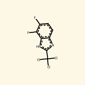 Fc1ccc2nc(C(Cl)(Cl)Cl)[nH]c2c1F